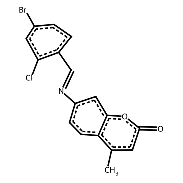 Cc1cc(=O)oc2cc(N=Cc3ccc(Br)cc3Cl)ccc12